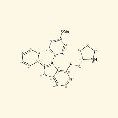 COc1ccc(-c2c(-c3ccccc3)oc3ncnc(CC[C@@H]4CCCN4)c23)cc1